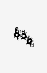 Cc1ccc(C=O)c(O)c1N1CCC(Oc2ccc(Cl)cc2)CC1